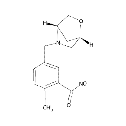 Cc1ccc(CN2C[C@@H]3C[C@H]2CO3)cc1C(=O)N=O